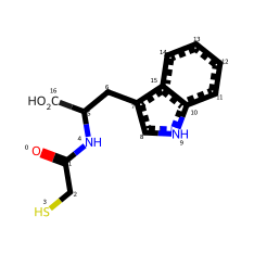 O=C(CS)NC(Cc1c[nH]c2ccccc12)C(=O)O